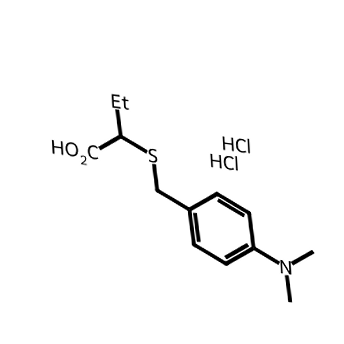 CCC(SCc1ccc(N(C)C)cc1)C(=O)O.Cl.Cl